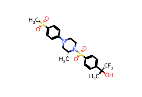 C[C@@H]1CN(c2ccc(S(C)(=O)=O)cc2)CCN1S(=O)(=O)c1ccc([C@@](C)(O)C(F)(F)F)cc1